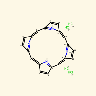 C1=CC2=NC1=CC1=NC(=CC3=NC(=CC4=NC(=C2)C=C4)C=C3)C=C1.Cl.Cl.Cl.Cl